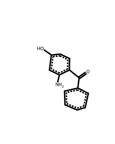 Nc1cc(O)ccc1C(=O)c1ccccc1